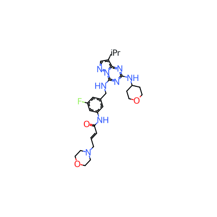 CC(C)c1cnn2c(NCc3cc(F)cc(NC(=O)C=CCN4CCOCC4)c3)nc(NC3CCOCC3)nc12